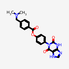 CN(C)Cc1ccc(C(=O)Oc2ccc(-n3c(=O)[nH]c4nc[nH]c4c3=O)cc2)cc1